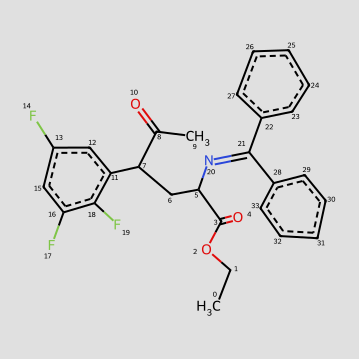 CCOC(=O)C(CC(C(C)=O)c1cc(F)cc(F)c1F)N=C(c1ccccc1)c1ccccc1